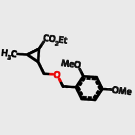 CCOC(=O)C1C(C)C1COCc1ccc(OC)cc1OC